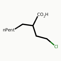 CCCCCCC(CCCl)C(=O)O